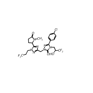 CN1C(=O)CCC1c1nc(Cn2nc(-c3ccc(Cl)cc3)n(CC(O)C(F)(F)F)c2=O)nn1CCC(F)(F)F